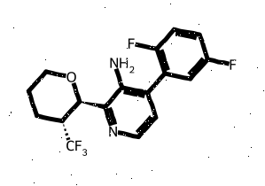 Nc1c(-c2cc(F)ccc2F)ccnc1[C@@H]1OCCC[C@H]1C(F)(F)F